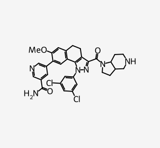 COc1cc2c(cc1-c1cncc(C(N)=O)c1)-c1c(c(C(=O)N3CCC4CNCCC43)nn1-c1cc(Cl)cc(Cl)c1)CC2